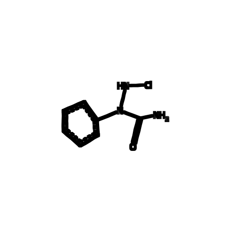 NC(=O)N(NCl)c1ccccc1